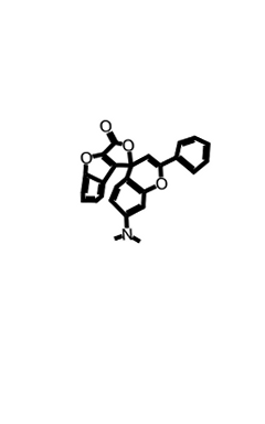 CN(C)c1ccc2c(c1)OC(c1ccccc1)=CC21OC(=O)c2oc3ccccc3c21